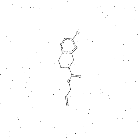 C=CCOC(=O)N1CCc2ncc(Br)cc2C1